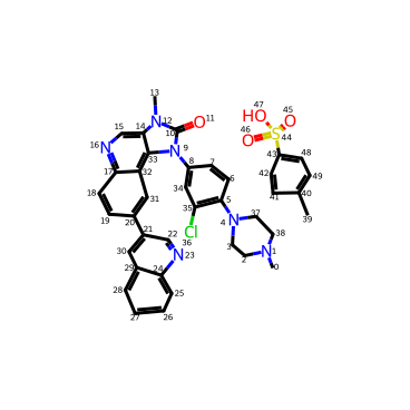 CN1CCN(c2ccc(-n3c(=O)n(C)c4cnc5ccc(-c6cnc7ccccc7c6)cc5c43)cc2Cl)CC1.Cc1ccc(S(=O)(=O)O)cc1